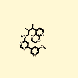 COc1cncc(-c2cc(NC[C@@H](C)C(C)c3ccnc4c3OCCO4)ncn2)c1